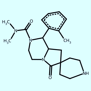 Cc1ccccc1C1C2CC3(CCNCC3)C(=O)N2CCN1C(=O)N(C)C